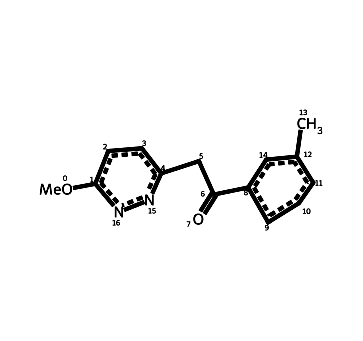 COc1ccc(CC(=O)c2cccc(C)c2)nn1